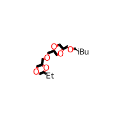 CCC1COCC(COCC2COC(COC[C@H](C)CC)CO2)O1